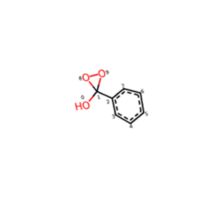 OC1(c2ccccc2)OO1